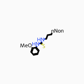 CCCCCCCCCCCCNC(=S)Nc1ccccc1OC